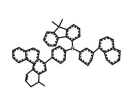 CC1CC=Cc2c1cc(-c1ccc(N(c3cccc(-c4cccc5ccccc45)c3)c3cccc4c3-c3ccccc3C4(C)C)cc1)c1ccc3ccccc3c21